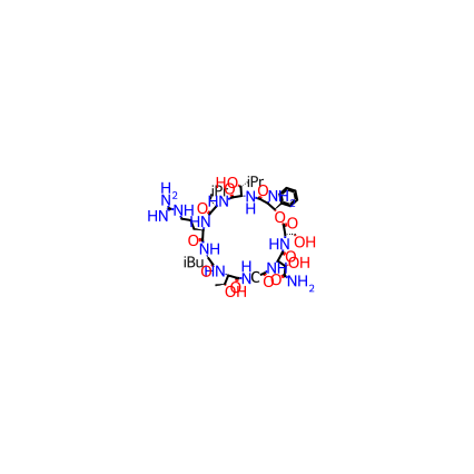 CC[C@H](C)[C@@H]1NC(=O)[C@@H](CCCNC(=N)N)NC(=O)[C@H](CC(C)C)NC(=O)[C@H]([C@H](O)C(C)C)NC(=O)[C@@H](N)[C@@H](c2ccccc2)OC(=O)[C@H](CO)NC(=O)[C@H]([C@H](O)C(N)=O)NC(=O)CNC(=O)[C@H]([C@H](C)O)NC1=O